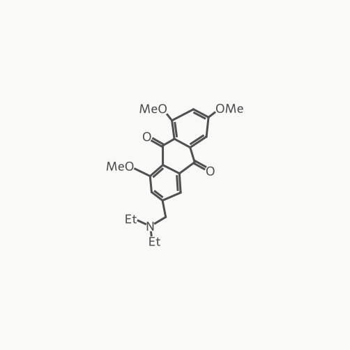 CCN(CC)Cc1cc(OC)c2c(c1)C(=O)c1cc(OC)cc(OC)c1C2=O